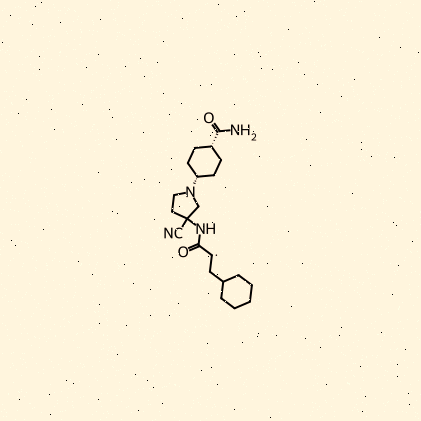 N#CC1(NC(=O)[CH]CC2CCCCC2)CCN([C@H]2CC[C@@H](C(N)=O)CC2)C1